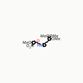 COc1ccc(C(=O)C=CNc2cccc(C=Cc3cc(OC)c(OC)c(OC)c3)c2)cc1[N+](=O)[O-]